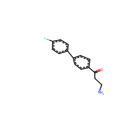 NCCC(=O)c1ccc(-c2ccc(F)cc2)cc1